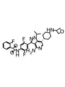 CC(C)n1nc(-c2cc(F)c(NS(=O)(=O)c3ccccc3F)cc2F)c2c(N)ncc([C@H]3CC[C@H](NC4COC4)CC3)c21